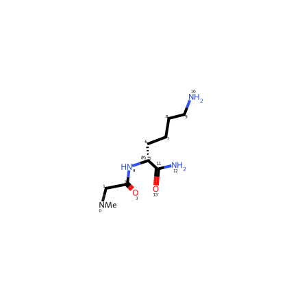 CNCC(=O)N[C@H](CCCCN)C(N)=O